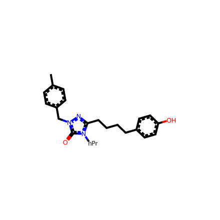 CCCn1c(CCCCc2ccc(O)cc2)nn(Cc2ccc(C)cc2)c1=O